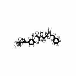 CN1CC(O)(C#Cc2ccc3c(c2)N(C)C(=O)[C@H](NC(=O)c2n[nH]c(Cc4ccccc4)n2)CO3)C1